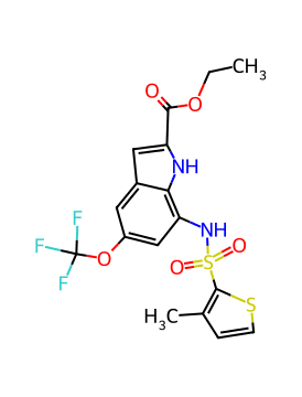 CCOC(=O)c1cc2cc(OC(F)(F)F)cc(NS(=O)(=O)c3sccc3C)c2[nH]1